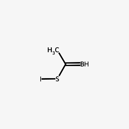 B=C(C)SI